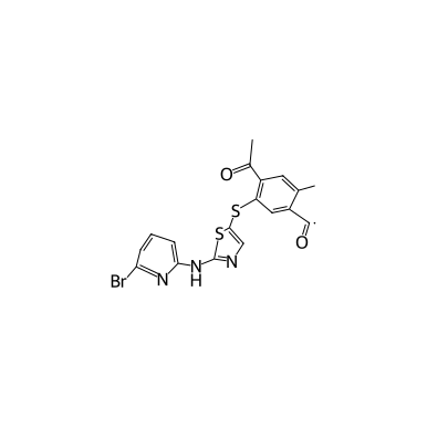 CC(=O)c1cc(C)c([C]=O)cc1Sc1cnc(Nc2cccc(Br)n2)s1